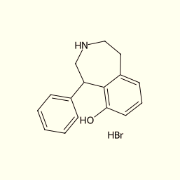 Br.Oc1cccc2c1C(c1ccccc1)CNCC2